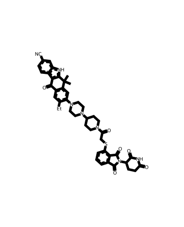 CCc1cc2c(cc1N1CCN(C3CCN(C(=O)CSc4cccc5c4C(=O)N(C4CCC(=O)NC4=O)C5=O)CC3)CC1)C(C)(C)c1[nH]c3cc(C#N)ccc3c1C2=O